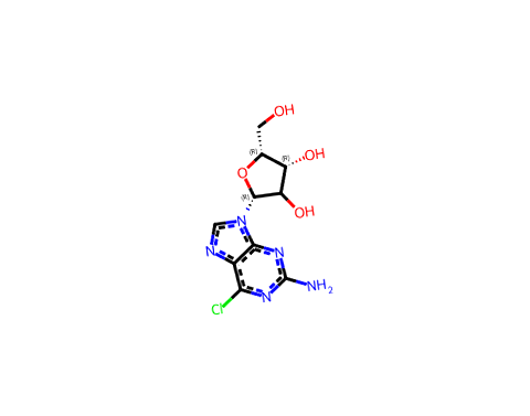 Nc1nc(Cl)c2ncn([C@@H]3O[C@H](CO)[C@H](O)C3O)c2n1